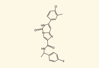 Cc1cc(-c2cc3nc(C(=O)NC(C)c4ccc(F)cc4)cn3c(=O)[nH]2)ccc1Cl